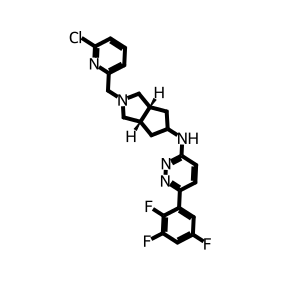 Fc1cc(F)c(F)c(-c2ccc(NC3C[C@@H]4CN(Cc5cccc(Cl)n5)C[C@@H]4C3)nn2)c1